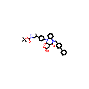 CC(CNC(=O)OC(C)(C)C)c1ccc(N2C(=O)C(CC(=O)O)C(=O)N(Cc3ccc(-c4ccccc4)cc3)c3ccccc32)cc1